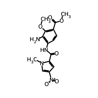 COC(=O)c1ccc(NC(=O)c2cc([N+](=O)[O-])cn2C)c(N)c1OC